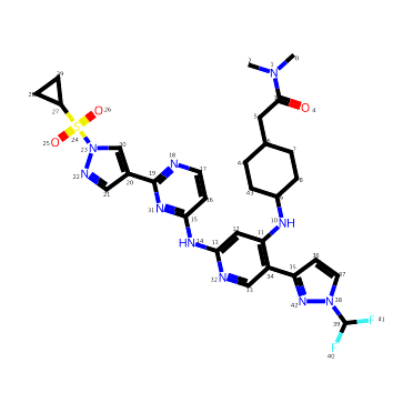 CN(C)C(=O)CC1CCC(Nc2cc(Nc3ccnc(-c4cnn(S(=O)(=O)C5CC5)c4)n3)ncc2-c2ccn(C(F)F)n2)CC1